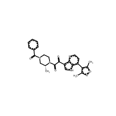 Cc1noc(C)c1-c1ccnc2c(C(=O)C(=O)N3CCN(C(=O)c4ccccc4)C[C@H]3C)c[nH]c12